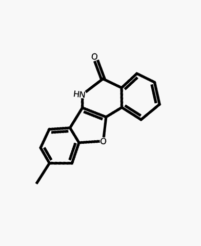 Cc1ccc2c(c1)oc1c3ccccc3c(=O)[nH]c21